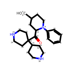 O=C(O)C1CCN(c2ccccc2)C(C(=O)C2(C3CCNCC3)CCNCC2)C1